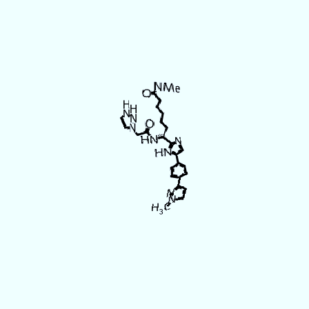 CNC(=O)CCCCC[C@H](NC(=O)CN1C=CNN1)c1ncc(-c2ccc(-c3ccn(C)n3)cc2)[nH]1